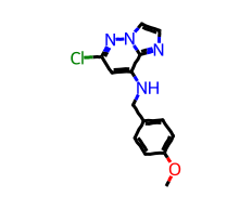 COc1ccc(CNc2cc(Cl)nn3ccnc23)cc1